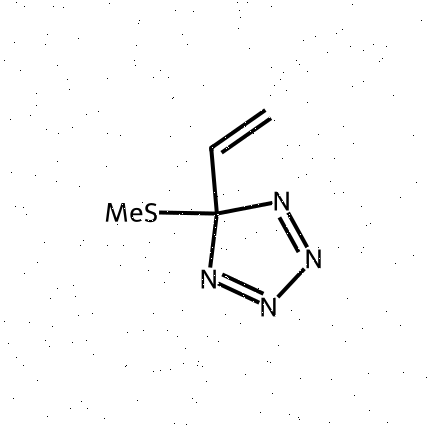 C=CC1(SC)N=NN=N1